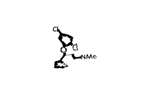 CNCC[C@@H](Oc1cc(Cl)ccc1Cl)c1cccs1